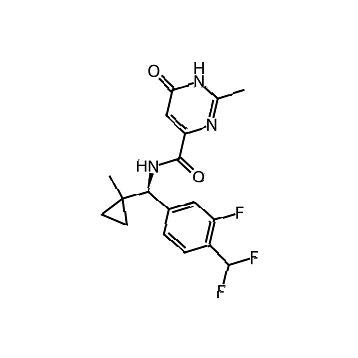 Cc1nc(C(=O)N[C@@H](c2ccc(C(F)F)c(F)c2)C2(C)CC2)cc(=O)[nH]1